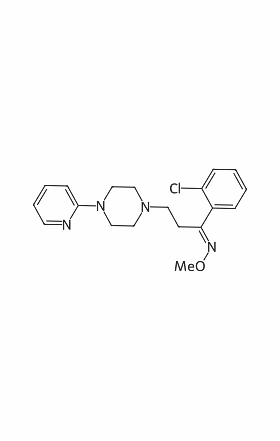 CO/N=C(\CCN1CCN(c2ccccn2)CC1)c1ccccc1Cl